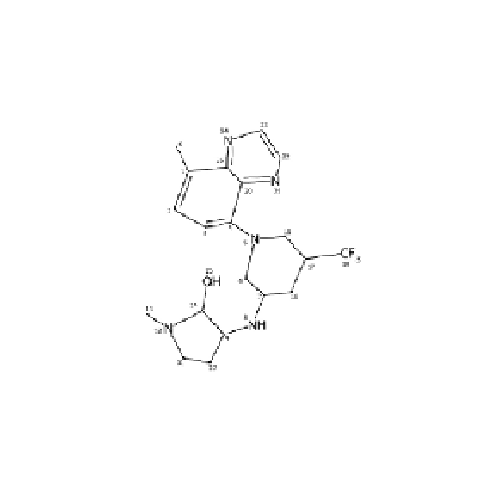 Cc1ccc(N2CC(NC3CCN(C)C3O)CC(C(F)(F)F)C2)c2nccnc12